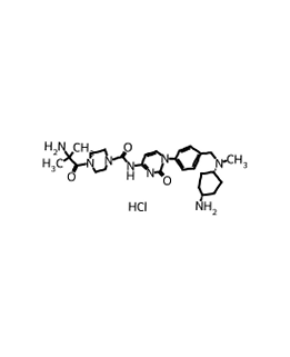 CN(Cc1ccc(-n2ccc(NC(=O)N3CCN(C(=O)C(C)(C)N)CC3)nc2=O)cc1)[C@H]1CC[C@H](N)CC1.Cl